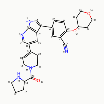 N#Cc1cc(-c2c[nH]c3ncc(C4=CCN(C(=O)C5CCCN5)CC4)cc23)ccc1OC1CCOCC1